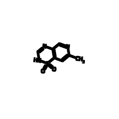 Cc1cc2c(cn1)N=CNS2(=O)=O